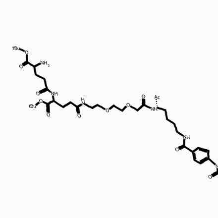 CC(=O)[C@H](CCCCNC(=O)c1ccc(NC(=O)OC(C)(C)C)cc1)NC(=O)COCCOCCNC(=O)CCC(NC(=O)CCC(N)C(=O)OC(C)(C)C)C(=O)OC(C)(C)C